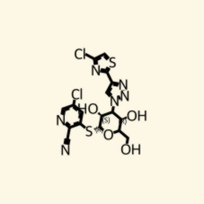 N#Cc1ncc(Cl)cc1S[C@H]1OC(CO)[C@H](O)C(n2cc(-c3nc(Cl)cs3)nn2)[C@@H]1O